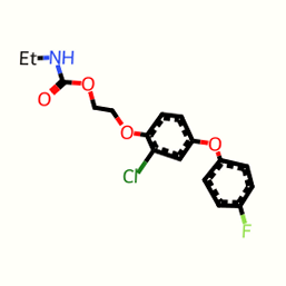 CCNC(=O)OCCOc1ccc(Oc2ccc(F)cc2)cc1Cl